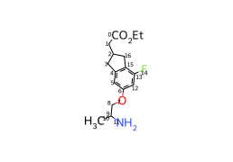 CCOC(=O)CC1Cc2cc(OCC(C)N)cc(F)c2C1